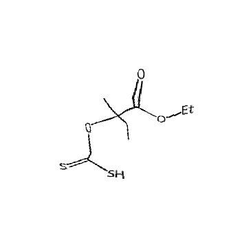 CCOC(=O)C(C)(C)OC(=S)S